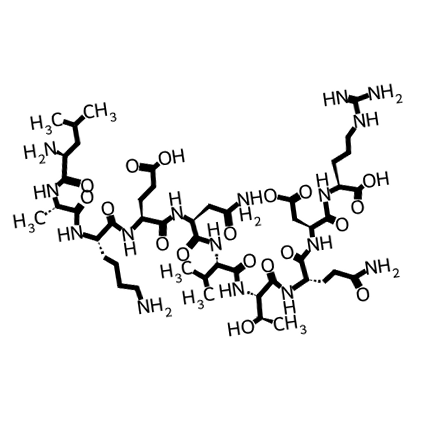 CC(C)C[C@H](N)C(=O)N[C@@H](C)C(=O)N[C@@H](CCCCN)C(=O)N[C@@H](CCC(=O)O)C(=O)N[C@@H](CC(N)=O)C(=O)N[C@H](C(=O)N[C@H](C(=O)N[C@@H](CCC(N)=O)C(=O)N[C@@H](CC(=O)O)C(=O)N[C@@H](CCCNC(=N)N)C(=O)O)[C@@H](C)O)C(C)C